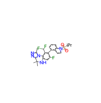 Cc1nnc2n1-c1c(cc(F)c(-c3cccc4c3ccn4S(=O)(=O)C(C)C)c1C(F)F)NC2(C)C